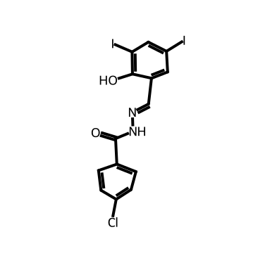 O=C(N/N=C/c1cc(I)cc(I)c1O)c1ccc(Cl)cc1